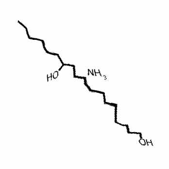 CCCCCCC(O)CCCCCCCCCCCO.N